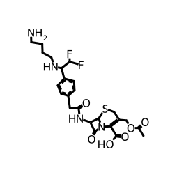 CC(=O)OCC1=C(C(=O)O)N2C(=O)C(NC(=O)Cc3ccc(C(NCCCCN)C(F)F)cc3)C2SC1